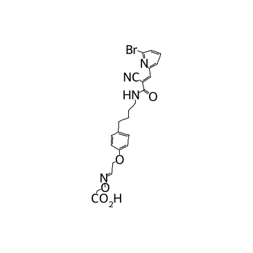 N#C/C(=C\c1cccc(Br)n1)C(=O)NCCCCc1ccc(OCC=NOCC(=O)O)cc1